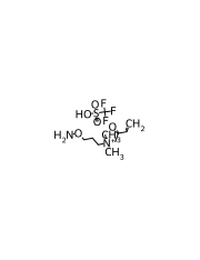 C=CC(=O)C[N+](C)(C)CCCON.O=S(=O)(O)C(F)(F)F